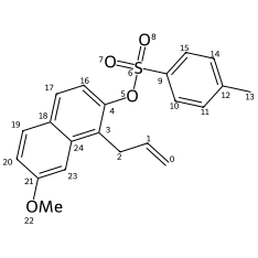 C=CCc1c(OS(=O)(=O)c2ccc(C)cc2)ccc2ccc(OC)cc12